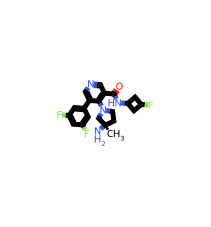 C[C@]1(N)CCN(c2c(C(=O)NC3CC(F)C3)cncc2-c2cc(F)cc(F)c2)C1